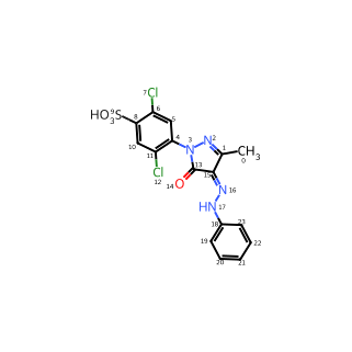 CC1=NN(c2cc(Cl)c(S(=O)(=O)O)cc2Cl)C(=O)/C1=N\Nc1ccccc1